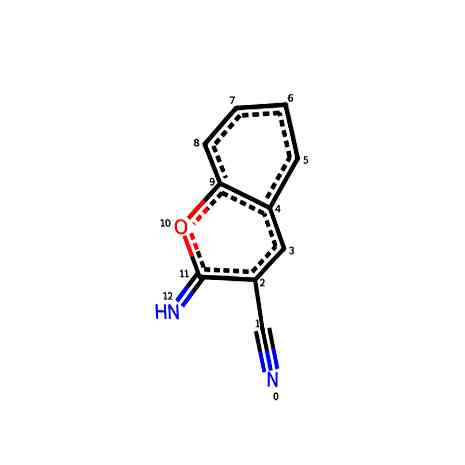 N#Cc1cc2ccccc2oc1=N